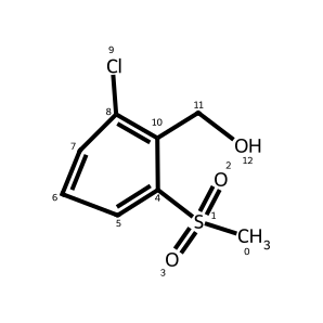 CS(=O)(=O)c1cccc(Cl)c1CO